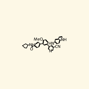 COc1ccc(-c2cncc(C#N)c2Nc2ccc3[nH]ccc3c2)cc1-c1ccc(C(=O)NC2CCCC2)cc1